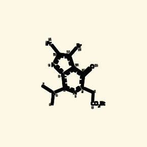 CCOC(=O)Cn1nc(N(C)C)n2nc(C(C)C)c(Br)c2c1=O